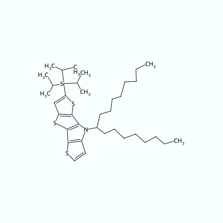 CCCCCCCCC(CCCCCCCC)n1c2ccsc2c2sc3cc([Si](C(C)C)(C(C)C)C(C)C)sc3c21